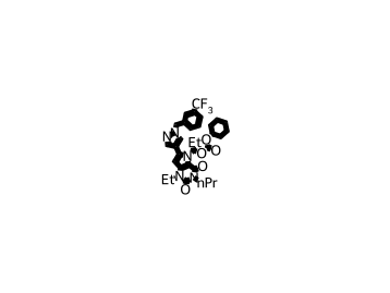 CCCn1c(=O)c2c(cc(-c3cnn(Cc4cccc(C(F)(F)F)c4)c3)n2C(CC)OC(=O)OC2CCCCC2)n(CC)c1=O